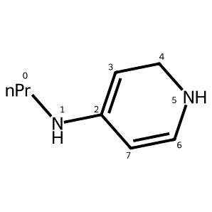 CCCNC1=CCNC=C1